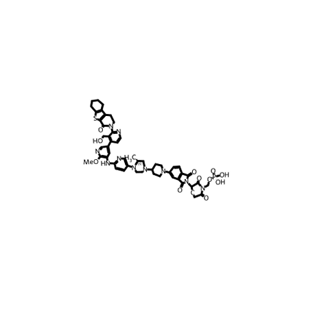 COc1ncc(-c2ccnc(N3CCc4c(sc5c4CCCC5)C3=O)c2CO)cc1Nc1ccc(N2CCN(C3CCN(c4ccc5c(c4)C(=O)N(C4CCC(=O)N(COP(=O)(O)O)C4=O)C5=O)CC3)C[C@@H]2C)cn1